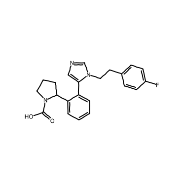 O=C(O)N1CCCC1c1ccccc1-c1cncn1CCc1ccc(F)cc1